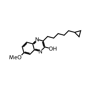 COc1ccc2nc(CCCCCC3CC3)c(O)nc2c1